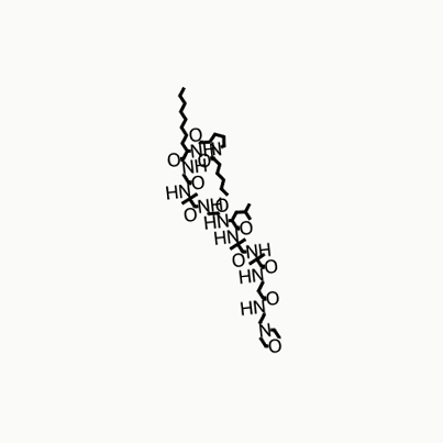 CCCCCCCCC(NC(=O)C1CCCN1C(=O)CCCCC)C(=O)NCC(=O)NC(C)(C)C(=O)NCC(=O)NC(CC(C)C)C(=O)NC(C)(C)C(=O)NC(C)(C)C(=O)NCCC(=O)NCCN1CCOCC1